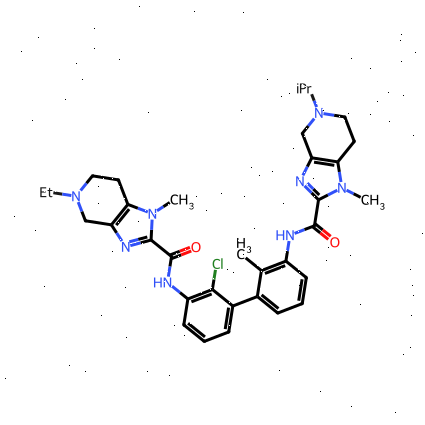 CCN1CCc2c(nc(C(=O)Nc3cccc(-c4cccc(NC(=O)c5nc6c(n5C)CCN(C(C)C)C6)c4C)c3Cl)n2C)C1